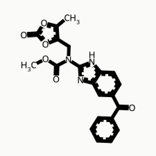 COC(=O)N(Cc1oc(=O)oc1C)c1nc2cc(C(=O)c3ccccc3)ccc2[nH]1